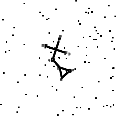 FC(F)(F)OC1CO1